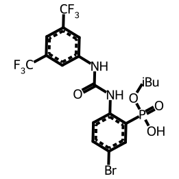 CCC(C)OP(=O)(O)c1cc(Br)ccc1NC(=O)Nc1cc(C(F)(F)F)cc(C(F)(F)F)c1